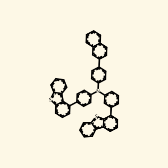 c1cc(-c2cccc3c2sc2ccccc23)cc(N(c2ccc(-c3ccc4ccccc4c3)cc2)c2ccc(-c3cccc4sc5ccccc5c34)cc2)c1